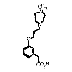 CN1CCN(CCCOc2cccc(CC(=O)O)c2)CC1